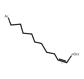 CCCCCCCC/C=C\CCCCCCC[CH]C(C)=O